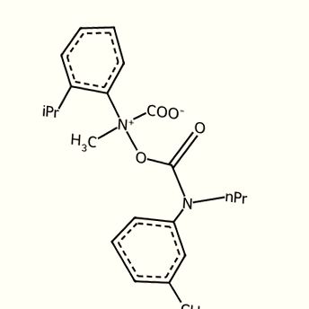 CCCN(C(=O)O[N+](C)(C(=O)[O-])c1ccccc1C(C)C)c1cccc(C)c1